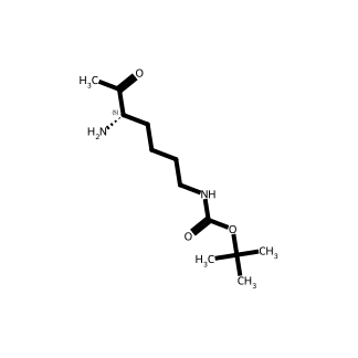 CC(=O)[C@@H](N)CCCCNC(=O)OC(C)(C)C